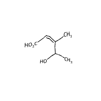 CC(=CC(=O)O)C(C)O